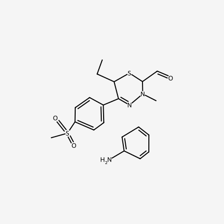 CCC1SC(C=O)N(C)N=C1c1ccc(S(C)(=O)=O)cc1.Nc1ccccc1